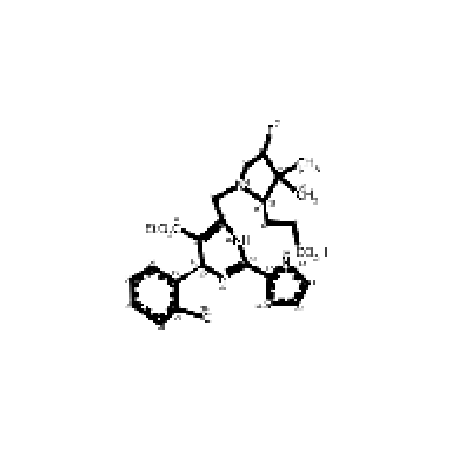 CCOC(=O)C1=C(CN2CC(F)C(C)(C)[C@H]2CCC(=O)O)NC(c2nccs2)=N[C@H]1c1ccccc1Cl